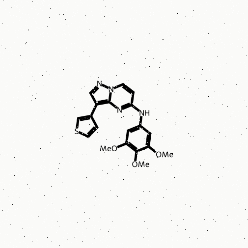 COc1cc(Nc2ccn3ncc(-c4ccsc4)c3n2)cc(OC)c1OC